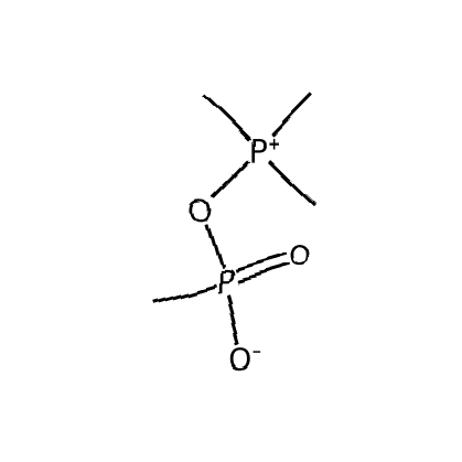 CP(=O)([O-])O[P+](C)(C)C